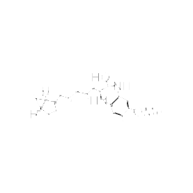 COc1ccc2c(c1)NC(O)C(CCCCC[C@H]1CC[C@@H]3C[C@H]13)N2